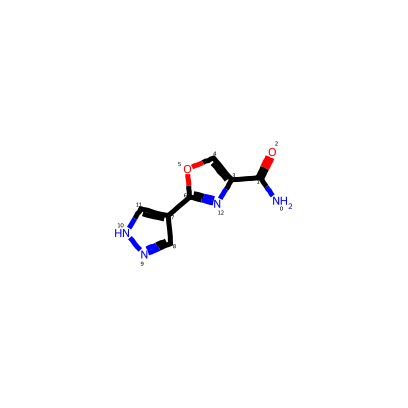 NC(=O)c1coc(-c2cn[nH]c2)n1